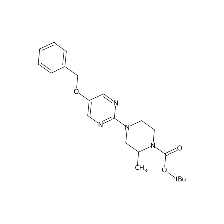 CC1CN(c2ncc(OCc3ccccc3)cn2)CCN1C(=O)OC(C)(C)C